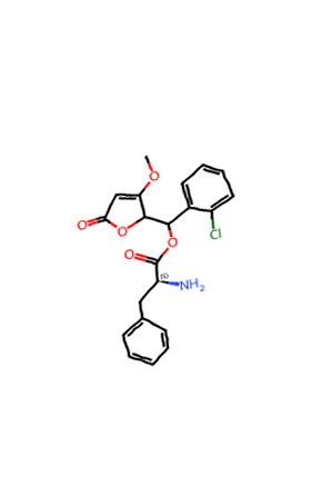 COC1=CC(=O)OC1C(OC(=O)[C@@H](N)Cc1ccccc1)c1ccccc1Cl